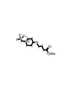 COC(=O)CCCOC1CC[NH+](C[B-](F)(F)F)CC1